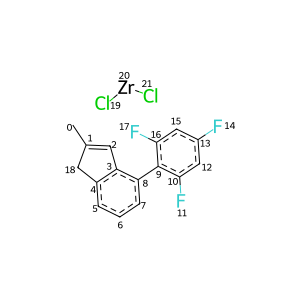 CC1=Cc2c(cccc2-c2c(F)cc(F)cc2F)C1.[Cl][Zr][Cl]